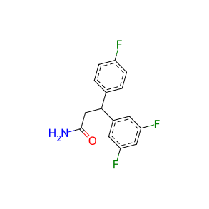 NC(=O)CC(c1ccc(F)cc1)c1cc(F)cc(F)c1